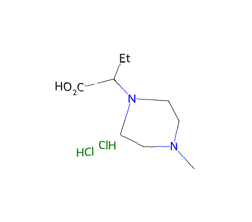 CCC(C(=O)O)N1CCN(C)CC1.Cl.Cl